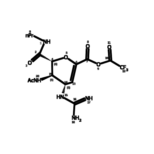 CCCNC(=O)[C@@H]1OC(C(=O)OC(=O)C(F)(F)F)=C[C@H](NC(=N)N)[C@H]1NC(C)=O